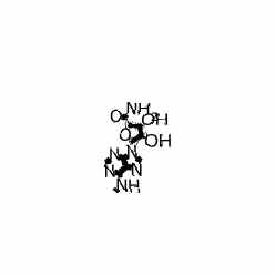 CNc1ncnc2c1ncn2[C@@H]1O[C@H](C(N)=O)[C@@H](O)[C@H]1O